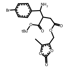 Cc1oc(=O)oc1COC(=O)CC(C(=O)OC(C)(C)C)C(N)c1ccc(Br)cc1